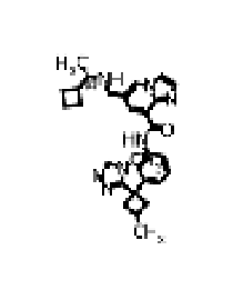 CC1CC(c2cccc(NC(=O)c3cc(CN[C@@H](C)C4CCC4)cn4ccnc34)c2)(c2nncn2C)C1